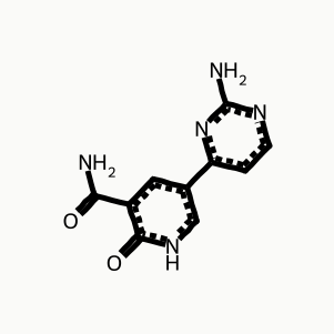 NC(=O)c1cc(-c2ccnc(N)n2)c[nH]c1=O